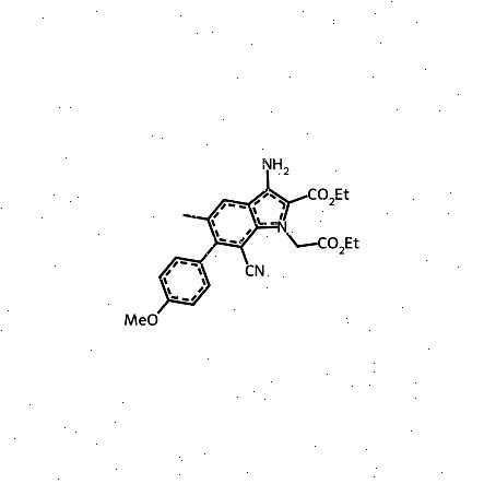 CCOC(=O)Cn1c(C(=O)OCC)c(N)c2cc(C)c(-c3ccc(OC)cc3)c(C#N)c21